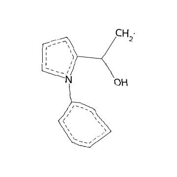 [CH2]C(O)c1cccn1-c1ccccc1